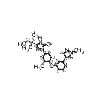 Cc1nc(-n2nc(C(C)(C)CO)[nH]c2=O)ccc1Oc1ccnc(-c2cnn(C)c2)c1